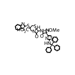 CON=C(C(=O)NC1C(=O)N2CC(Sc3nc4ccccc4s3)(C(=O)O)CS[C@H]12)c1csc(NC(c2ccccc2)(c2ccccc2)c2ccccc2)n1